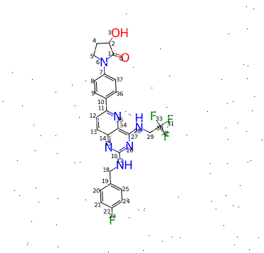 O=C1C(O)CCN1c1ccc(-c2ccc3nc(NCc4ccc(F)cc4)nc(NCC(F)(F)F)c3n2)cc1